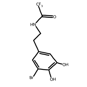 O=C(NCCc1cc(O)c(O)c(Br)c1)C(F)(F)F